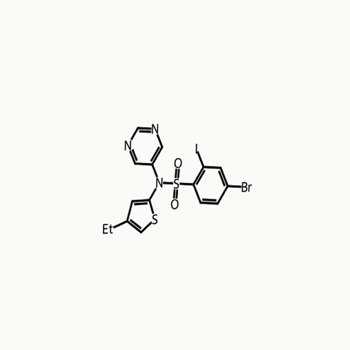 CCc1csc(N(c2cncnc2)S(=O)(=O)c2ccc(Br)cc2I)c1